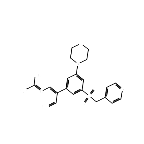 C=C/C(=C\N=C(/C)N)c1cc(N2CCOCC2)cc(S(=O)(=O)Cc2ccncc2)c1